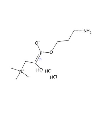 C[N+](C)(C)C/C(O)=[P+](\[O-])OCCCN.Cl.Cl